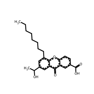 CCCCCCCCc1cc(C(C)O)cc2c(=O)c3cc(C(=O)O)ccc3oc12